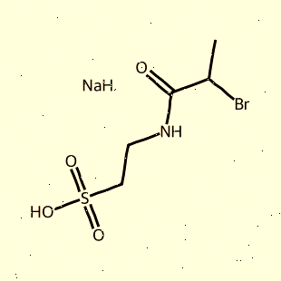 CC(Br)C(=O)NCCS(=O)(=O)O.[NaH]